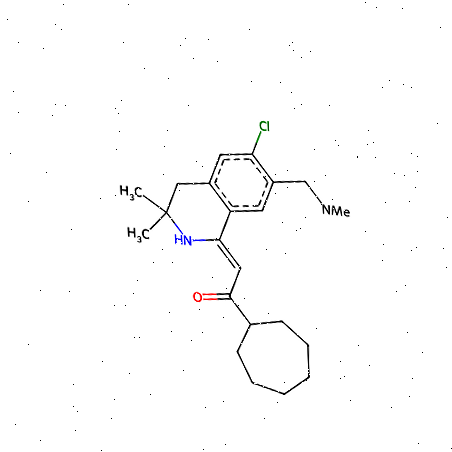 CNCc1cc2c(cc1Cl)CC(C)(C)NC2=CC(=O)C1CCCCCC1